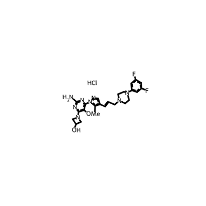 COc1c(N2CC(O)C2)nc(N)nc1-n1ncc(/C=C/CN2CCN(c3cc(F)cc(F)c3)CC2)c1C.Cl